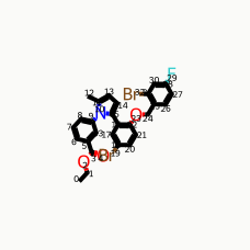 CCOC(=O)c1cccc(-n2c(C)ccc2-c2cc(Br)ccc2OCc2ccc(F)cc2Br)c1